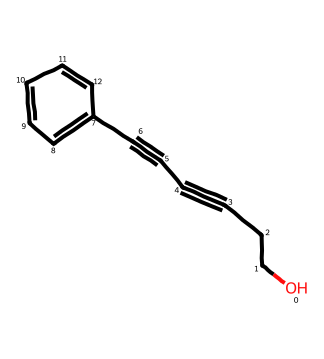 OCCC#CC#Cc1ccccc1